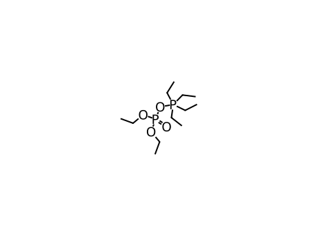 CCOP(=O)(OCC)OP(CC)(CC)(CC)CC